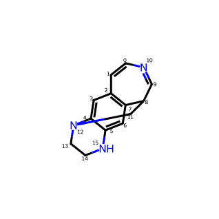 C1=Cc2cc3c4cc2C(C=N1)CN3CCN4